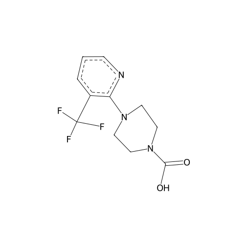 O=C(O)N1CCN(c2ncccc2C(F)(F)F)CC1